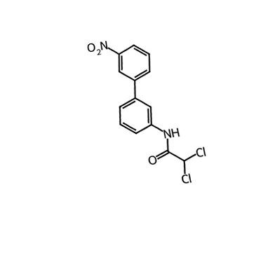 O=C(Nc1cccc(-c2cccc([N+](=O)[O-])c2)c1)C(Cl)Cl